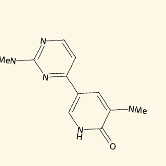 CNc1nccc(-c2c[nH]c(=O)c(NC)c2)n1